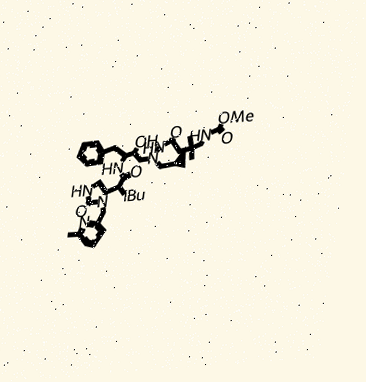 CCC(C)C(C(=O)NC(Cc1ccccc1)C(O)CN(CC1CC1)NC(=O)CC(C)(C)CNC(=O)OC)C1CNC(=O)N1Cc1cccc(C)n1